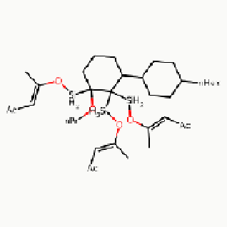 CCCCCCC1CCC(C2CCCC(OCCC)([SiH2]OC(C)=CC(C)=O)C2([SiH2]OC(C)=CC(C)=O)[SiH2]OC(C)=CC(C)=O)CC1